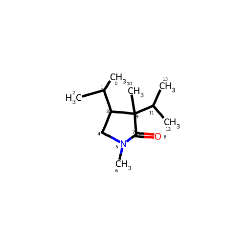 CC(C)C1CN(C)C(=O)C1(C)C(C)C